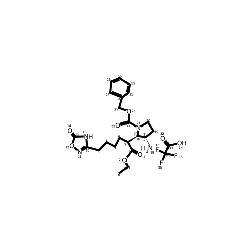 CCOC(=O)C(CCCCc1noc(=O)[nH]1)[C@@H]1[C@@H](N)CCN1C(=O)OCc1ccccc1.O=C(O)C(F)(F)F